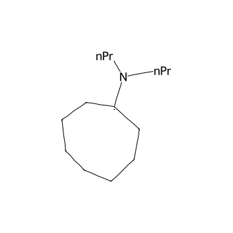 CCCN(CCC)[C]1CCCCCCC1